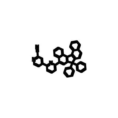 N#Cc1cc(-c2cccc(-c3cc4c(c5ccccc35)-c3c(ccc5ccccc35)C4(c3ccccc3)c3ccccc3)n2)ccn1